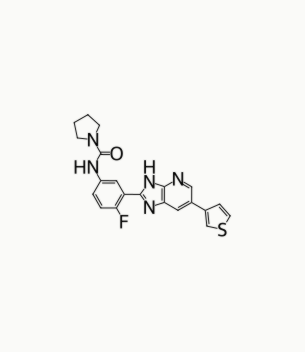 O=C(Nc1ccc(F)c(-c2nc3cc(-c4ccsc4)cnc3[nH]2)c1)N1CCCC1